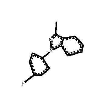 Cc1nn(-c2ccc(F)cc2)c2ccccc12